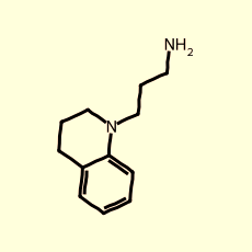 NCCCN1CCCc2ccccc21